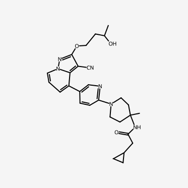 CC(O)CCOc1nn2cccc(-c3ccc(N4CCC(C)(NC(=O)CC5CC5)CC4)nc3)c2c1C#N